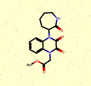 CC(C)(C)OC(=O)Cn1c(=O)c(=O)n(C2CCCCNC2=O)c2ccccc21